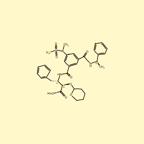 COC(=O)[C@H](OC1CCCCO1)[C@H](Cc1ccccc1)NC(=O)c1cc(C(=O)N[C@H](C)c2ccccc2)cc(N(C)S(C)(=O)=O)c1